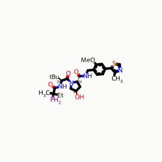 CCC(C)(P)C(=O)N[C@H](C(=O)N1C[C@H](O)C[C@H]1C(=O)NCc1ccc(-c2scnc2C)cc1OC)C(C)(C)C